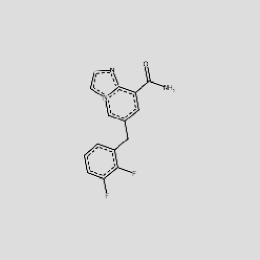 NC(=O)c1cc(Cc2cccc(F)c2F)cn2ccnc12